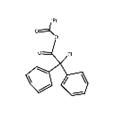 [CH2]CCC(=O)OC(=O)C(Cl)(c1ccccc1)c1ccccc1